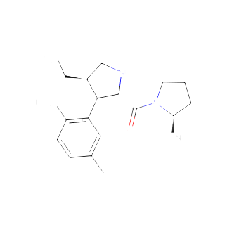 Cc1ccc(S(=O)(=O)O)c(C2[C@@H](CC(=O)O)CN[C@@H]2C(=O)N2CCC[C@H]2C#N)c1